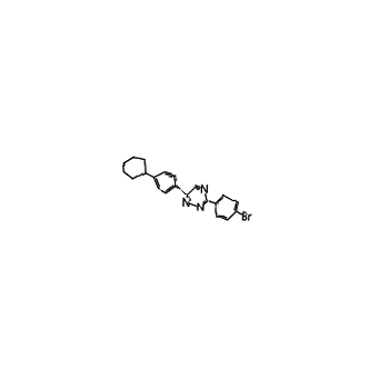 Brc1ccc(-c2ncc(-c3ccc(C4CCCCC4)cc3)nn2)cc1